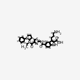 CCN(C(=O)c1csc(NC(=O)c2ccc3[nH]c(C(=O)O)c(CCCN)c3c2)n1)C1CCCN1c1ccccc1